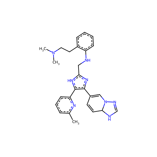 Cc1cccc(-c2[nH]c(CNc3ccccc3CCN(C)C)nc2C2=CN3N=CNC3C=C2)n1